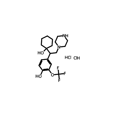 Cl.Cl.Oc1ccc(C(CN2CCNCC2)C2(O)CCCCC2)cc1OC(F)(F)F